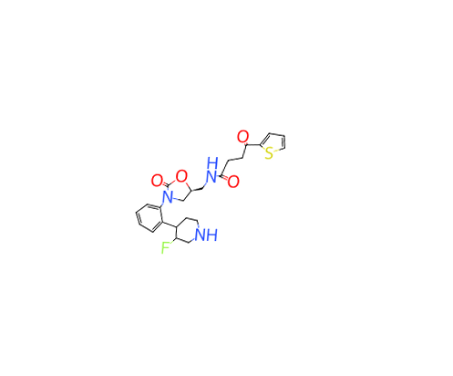 O=C(CCC(=O)c1cccs1)NC[C@H]1CN(c2ccccc2C2CCNCC2F)C(=O)O1